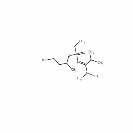 CCCC(C)OP(=O)(CC)N=C(N(C)C)N(C)C